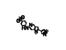 Cn1cc(-c2cc3cnc(Nc4ccc(S(C)(=O)=O)cc4)cc3n2C)cn1